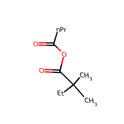 CCCC(=O)OC(=O)C(C)(C)CC